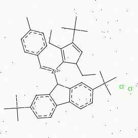 CCC1=[C](/[Zr+2](=[CH]\c2ccc(C)cc2)[CH]2c3cc(C(C)(C)C)ccc3-c3ccc(C(C)(C)C)cc32)C(CC)C=C1C(C)(C)C.[Cl-].[Cl-]